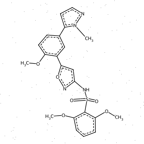 COc1ccc(-c2ccnn2C)cc1-c1cc(NS(=O)(=O)c2c(OC)cccc2OC)no1